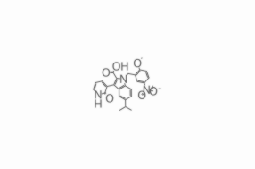 COc1ccc([N+](=O)[O-])cc1Cn1c(C(=O)O)c(-c2ccc[nH]c2=O)c2cc(C(C)C)ccc21